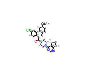 COC1CCN(C[C@H](C(=O)N2CCN(c3ncnc4c3[C@H](C)CC4)CC2)c2ccc(Cl)cc2)CC1